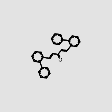 O=C(C=Cc1ccccc1-c1ccccc1)C=Cc1ccccc1-c1ccccc1